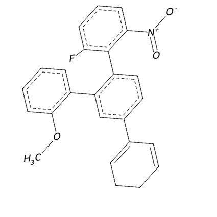 COc1ccccc1-c1cc(C2=CCCC=C2)ccc1-c1c(F)cccc1[N+](=O)[O-]